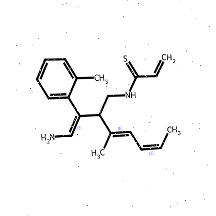 C=CC(=S)NCC(/C(=C/N)c1ccccc1C)/C(C)=C/C=C\C